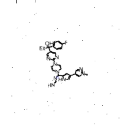 CC[C@@](O)(c1ccc(F)cc1)c1cnc(N2CCN(/C(=N/C=N)c3cc(-c4cnn(C)c4)c[nH]3)CC2)nc1